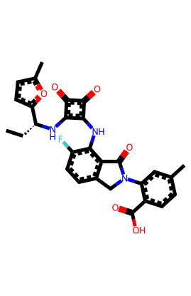 CC[C@@H](Nc1c(Nc2c(F)ccc3c2C(=O)N(c2cc(C)ccc2C(=O)O)C3)c(=O)c1=O)c1ccc(C)o1